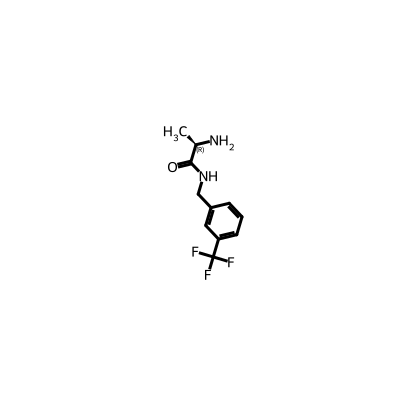 C[C@@H](N)C(=O)NCc1cccc(C(F)(F)F)c1